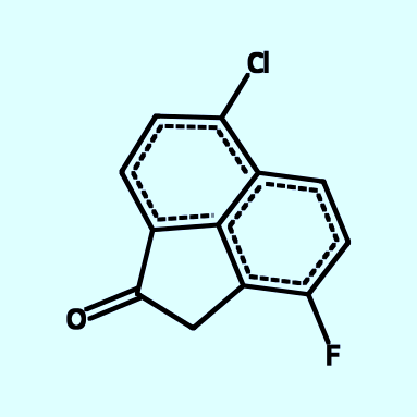 O=C1Cc2c(F)ccc3c(Cl)ccc1c23